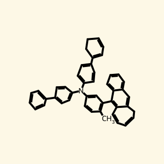 Cc1ccc(N(c2ccc(C3=CC=CCC3)cc2)c2ccc(-c3ccccc3)cc2)cc1-c1c2c(cc3ccccc13)CC=CC=C2